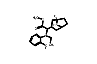 CCN(c1ccccc1O)C(C(=O)OC)C1CC2CC[C@H](C1)N2